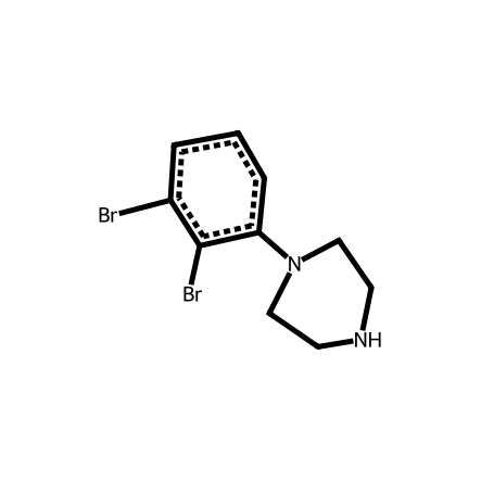 Brc1cccc(N2CCNCC2)c1Br